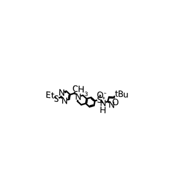 CCSc1ncc(C(C)N2CCc3ccc([S+]([O-])Nc4cc(C(C)(C)C)on4)cc3C2)cn1